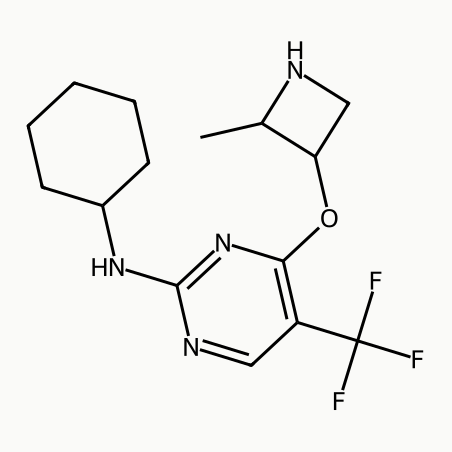 CC1NCC1Oc1nc(NC2CCCCC2)ncc1C(F)(F)F